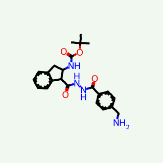 CC(C)(C)OC(=O)NC1Cc2ccccc2C1C(=O)NNC(=O)c1ccc(CN)cc1